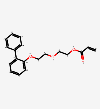 C=CC(=O)OCCOCCOc1ccccc1-c1ccccc1